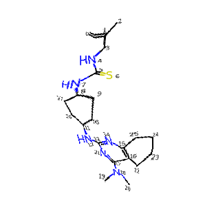 C=C(C)CNC(=S)N[C@H]1CC[C@@H](Nc2nc3c(c(N(C)C)n2)CCCC3)CC1